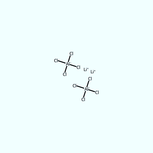 [Cl][Al-]([Cl])([Cl])[Cl].[Cl][Al-]([Cl])([Cl])[Cl].[Li+].[Li+]